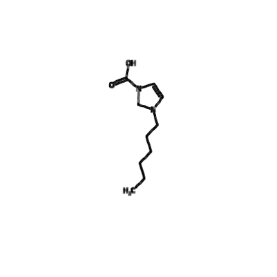 CCCCCCN1C=CN(C(=O)O)C1